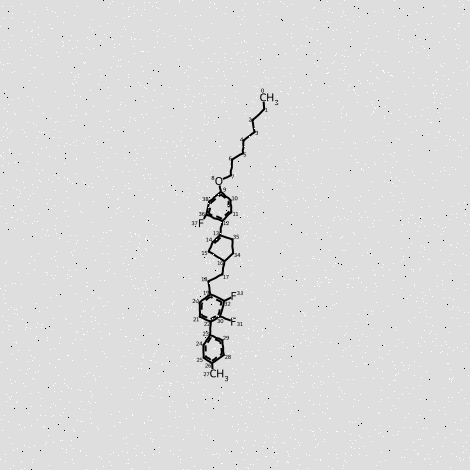 CCCCCCCCOc1ccc(C2=CCC(CCc3ccc(-c4ccc(C)cc4)c(F)c3F)CC2)c(F)c1